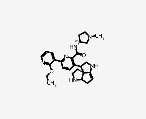 CCOc1ncccc1-c1ccc(C2CNC3=CCC4NCC[C@@]342)c(C(=O)N[C@@H]2CCN(C)C2)n1